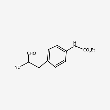 CCOC(=O)Nc1ccc(CC(C#N)C=O)cc1